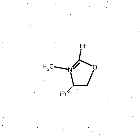 CCC1=[N+](C)[C@@H](C(C)C)CO1